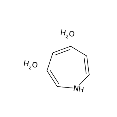 C1=CC=CNC=C1.O.O